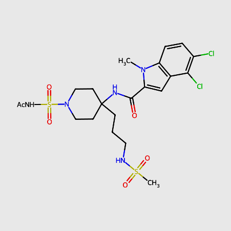 CC(=O)NS(=O)(=O)N1CCC(CCCNS(C)(=O)=O)(NC(=O)c2cc3c(Cl)c(Cl)ccc3n2C)CC1